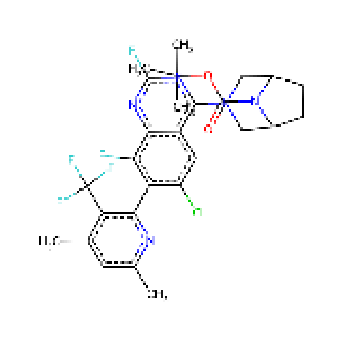 Cc1cc(C)c(C(F)(F)F)c(-c2c(Cl)cc3c(N4CC5CCC(C4)N5C(=O)OC(C)(C)C)nc(F)nc3c2F)n1